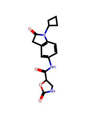 O=C1NCC(C(=O)Nc2ccc3c(c2)CC(=O)N3C2CCC2)O1